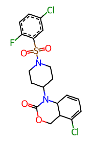 O=C1OCC2C(Cl)=CC=CC2N1C1CCN(S(=O)(=O)c2cc(Cl)ccc2F)CC1